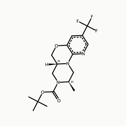 C[C@@H]1CN2c3ncc(C(F)(F)F)cc3OC[C@H]2CN1C(=O)OC(C)(C)C